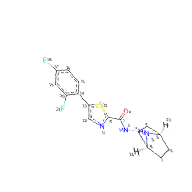 O=C(N[C@@H]1C[C@H]2CC[C@@H]1N2)c1ncc(-c2ccc(F)cc2F)s1